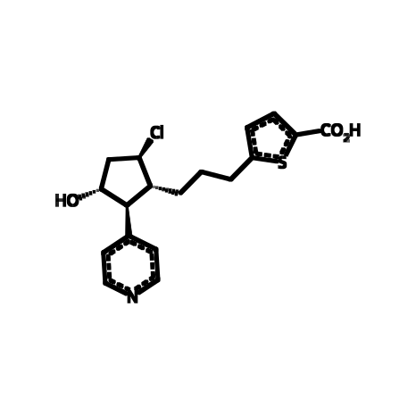 O=C(O)c1ccc(CCC[C@@H]2[C@@H](c3ccncc3)[C@H](O)C[C@H]2Cl)s1